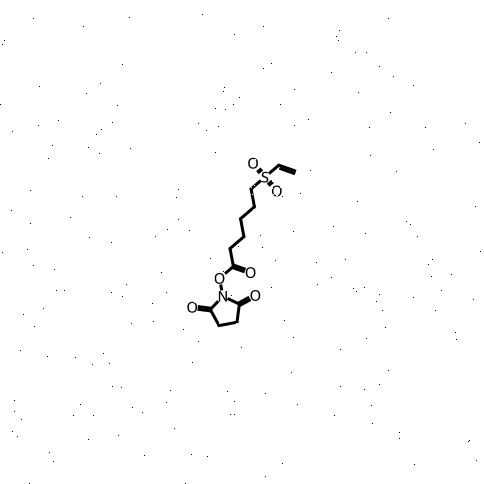 C=CS(=O)(=O)CCCCCC(=O)ON1C(=O)CCC1=O